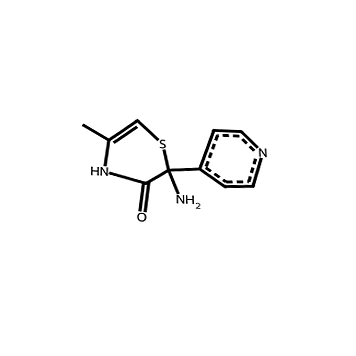 CC1=CSC(N)(c2ccncc2)C(=O)N1